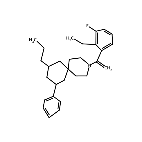 C=C(c1cccc(F)c1CC)N1CCC2(CC1)CC(CCC)CC(c1ccccc1)C2